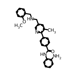 COc1ccccc1CNCc1cnc(-c2ccc(C(=O)Nc3ccccc3N)cc2)c(C)c1